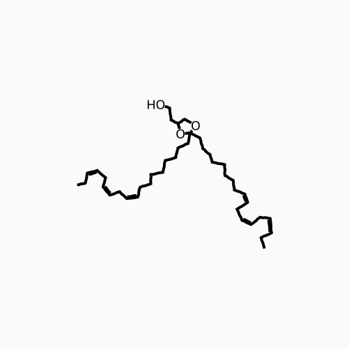 CC/C=C\C/C=C\C/C=C\CCCCCCCCC1(CCCCCCCC/C=C\C/C=C\C/C=C\CC)OCC(CCO)O1